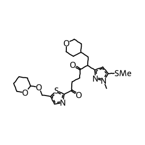 CSc1cc(C(CC2CCOCC2)C(=O)CCC(=O)c2ncc(COC3CCCCO3)s2)nn1C